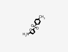 Cc1ccc(S(=O)(=O)c2ccc(N)o2)cc1